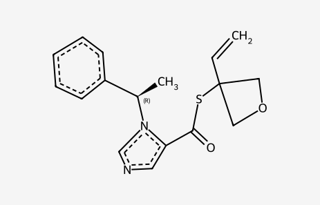 C=CC1(SC(=O)c2cncn2[C@H](C)c2ccccc2)COC1